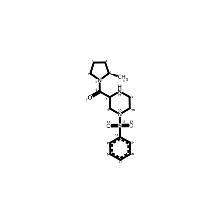 C[C@@H]1CCCN1C(=O)C1CN(S(=O)(=O)c2ccccc2)CCN1